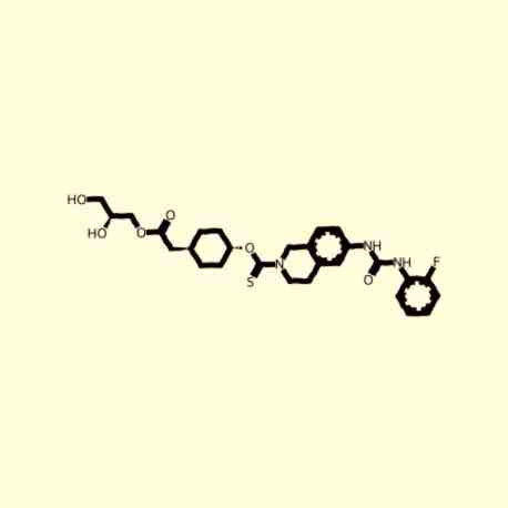 O=C(Nc1ccc2c(c1)CCN(C(=S)O[C@H]1CC[C@H](CC(=O)OC[C@@H](O)CO)CC1)C2)Nc1ccccc1F